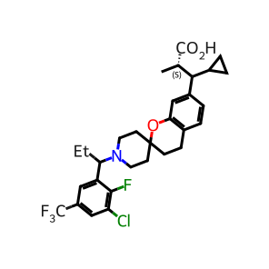 CCC(c1cc(C(F)(F)F)cc(Cl)c1F)N1CCC2(CCc3ccc(C(C4CC4)[C@H](C)C(=O)O)cc3O2)CC1